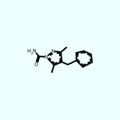 Cc1nn(C(N)=O)c(C)c1Cc1ccccc1